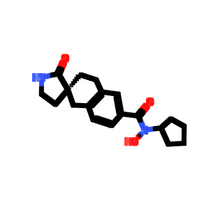 O=C(c1ccc2c(c1)CC[C@@]1(CCNC1=O)C2)N(O)C1CCCC1